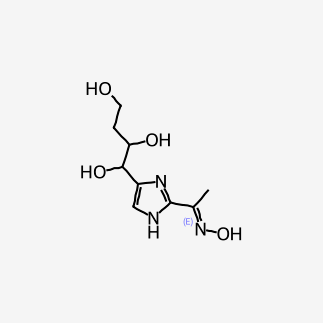 C/C(=N\O)c1nc(C(O)C(O)CCO)c[nH]1